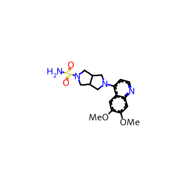 COc1cc2nccc(N3CC4CN(S(N)(=O)=O)CC4C3)c2cc1OC